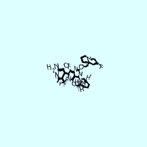 Cc1nc(N)c(Cl)c(-c2nc3c4c(nc(OC[C@@]56CCCN5C[C@H](F)C6)nc4c2F)N2C[C@H]4CC[C@H](N4)[C@H]2[C@H](C)O3)c1C(F)(F)F